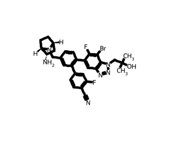 CC(C)(O)Cn1nnc2cc(-c3ccc(CN4[C@@H]5CC[C@H]4[C@@H](N)C5)cc3-c3ccc(C#N)c(F)c3)c(F)c(Br)c21